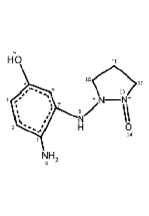 Nc1ccc(O)cc1NN1CCC[N+]1=O